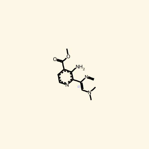 C=N/C(=C\N(C)C)c1nccc(C(=O)OC)c1N